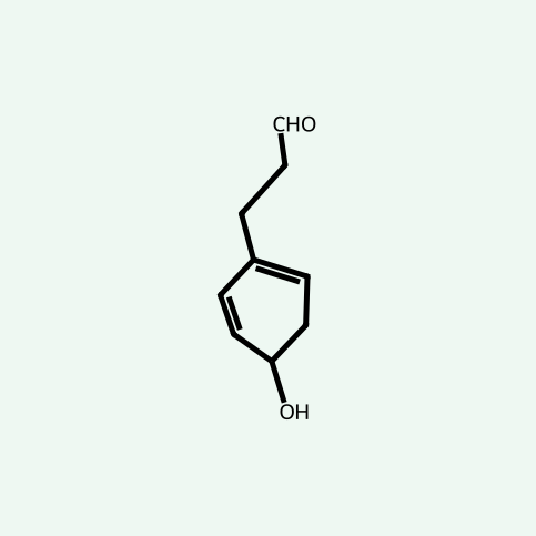 O=CCCC1=CCC(O)C=C1